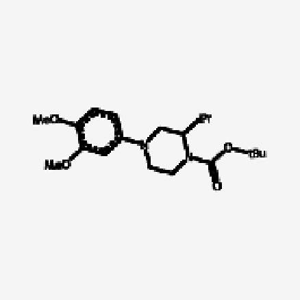 COc1ccc(N2CCN(C(=O)OC(C)(C)C)C(C(C)C)C2)cc1OC